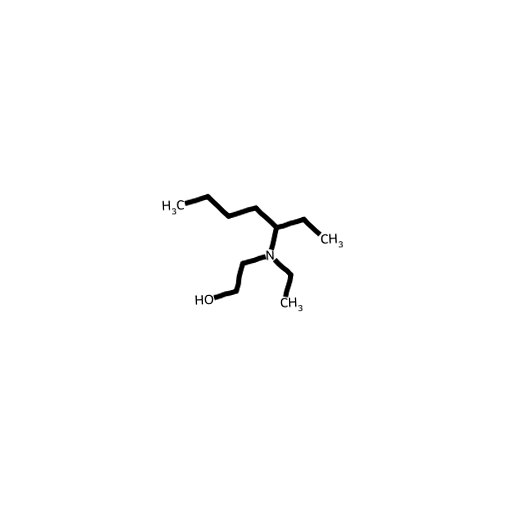 CCCCC(CC)N(CC)CCO